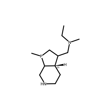 CCN(C)CC1CP(C)C2CNCC[C@@H]12